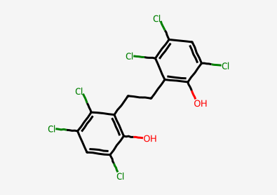 Oc1c(Cl)cc(Cl)c(Cl)c1CCc1c(O)c(Cl)cc(Cl)c1Cl